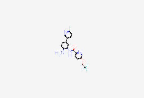 Nc1ccc(-c2ccc(F)nc2)cc1NC(=O)c1ccc(OCC(F)(F)F)cn1